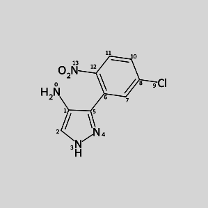 Nc1c[nH]nc1-c1cc(Cl)ccc1[N+](=O)[O-]